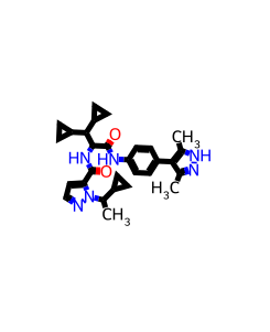 Cc1n[nH]c(C)c1-c1ccc(NC(=O)C(NC(=O)c2ccnn2C(C)C2CC2)C(C2CC2)C2CC2)cc1